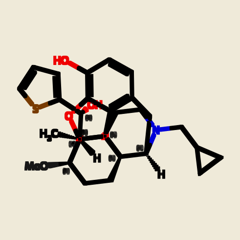 CO[C@]12CC[C@@]3(C[C@]1(C)[C@H](O)c1cccs1)[C@H]1Cc4ccc(O)c5c4[C@@]3(CCN1CC1CC1)[C@H]2O5